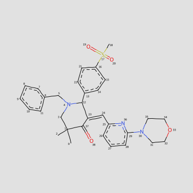 CC1(C)CN(Cc2ccccc2)C(c2ccc(S(C)(=O)=O)cc2)C(=Cc2cccc(N3CCOCC3)n2)C1=O